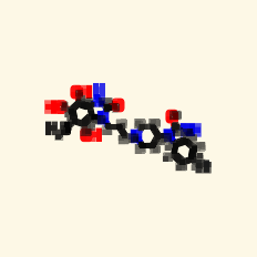 Bc1c(O)c(O)c2[nH]c(=O)n(CCCN3CCC(n4c(=O)[nH]c5cc(CC)ccc54)CC3)c2c1O